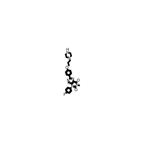 Cn1c(=O)c2nc(-c3ccc(OCCCN4CCNCC4)cc3)nnc2n(-c2ccc(F)cc2)c1=O